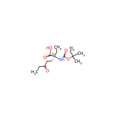 CCC(=O)CC[C@](CC)(NC(=O)OC(C)(C)C)C(=O)O